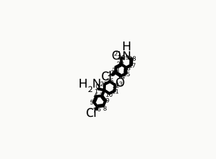 NCC1(c2ccc(Cl)cc2)CCC(Oc2cc3cc[nH]c(=O)c3cc2Cl)CC1